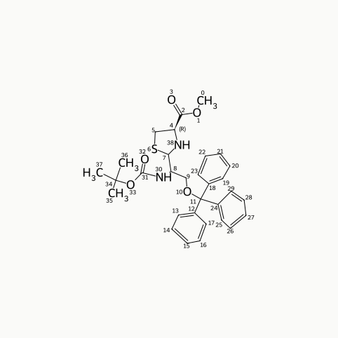 COC(=O)[C@@H]1CSC(C(COC(c2ccccc2)(c2ccccc2)c2ccccc2)NC(=O)OC(C)(C)C)N1